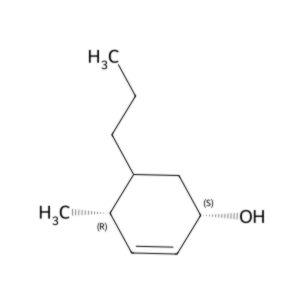 CCCC1C[C@H](O)C=C[C@@H]1C